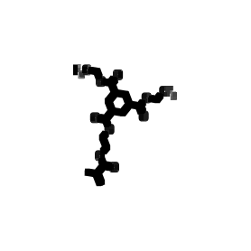 C=C(C)C(=O)OCCOC(=O)C1CC(C(=O)OCC(F)(F)F)CC(C(=O)OCC(F)(F)F)C1